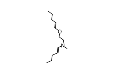 CCCC=COCCN(C)C=CCCC